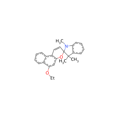 CCOc1cc2c(c3ccccc13)C=CC1(O2)N(C)c2ccccc2C1(C)C